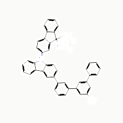 CC1(C)c2ccccc2-c2ccc(-n3c4ccccc4c4cc(-c5cccc(-c6cc(Br)cc(-c7ccccc7)c6)c5)ccc43)cc21